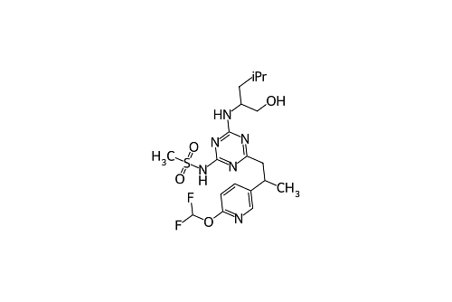 CC(C)CC(CO)Nc1nc(CC(C)c2ccc(OC(F)F)nc2)nc(NS(C)(=O)=O)n1